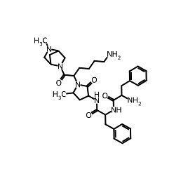 CC1CC(NC(=O)C(Cc2ccccc2)NC(=O)C(N)Cc2ccccc2)C(=O)N1C(CCCCN)C(=O)N1CC2CC1CN2C